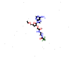 CCOC[C@@H]1C[C@H](OCC(=O)NCCNC(=O)C(F)(F)F)[C@H](n2cnc3c(N)ncnc32)O1